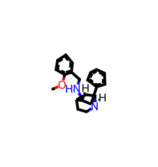 COc1ccccc1CN[C@H]1C2CCN(CC2)[C@@H]1c1ccccc1